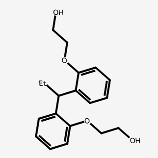 CCC(c1ccccc1OCCO)c1ccccc1OCCO